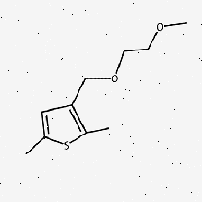 COCCOCc1cc(C)sc1C